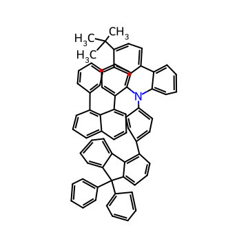 CC(C)(C)c1ccc(-c2ccccc2N(c2ccc(-c3cccc4c3-c3ccccc3C4(c3ccccc3)c3ccccc3)cc2)c2ccccc2-c2cccc3cccc(-c4ccccc4)c23)cc1